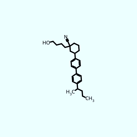 CCCC(C)c1ccc(-c2ccc(C3CCCC(C#N)(CCCCO)C3)cc2)cc1